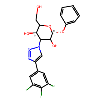 OCC1O[C@H](Oc2ccccc2)C(O)C(n2cc(-c3cc(F)c(F)c(F)c3)nn2)[C@H]1O